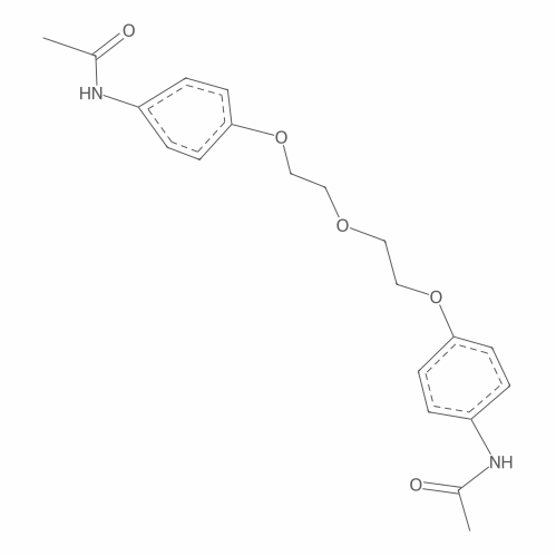 CC(=O)Nc1ccc(OCCOCCOc2ccc(NC(C)=O)cc2)cc1